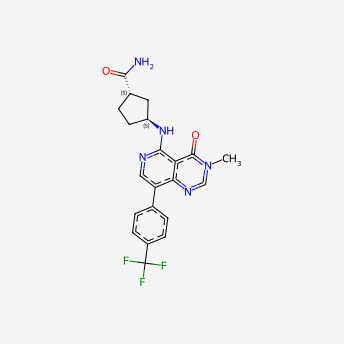 Cn1cnc2c(-c3ccc(C(F)(F)F)cc3)cnc(N[C@H]3CC[C@H](C(N)=O)C3)c2c1=O